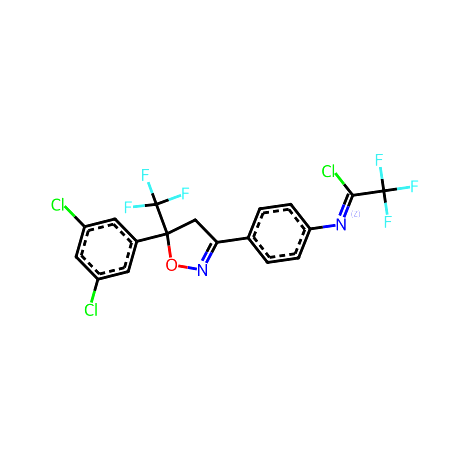 FC(F)(F)/C(Cl)=N/c1ccc(C2=NOC(c3cc(Cl)cc(Cl)c3)(C(F)(F)F)C2)cc1